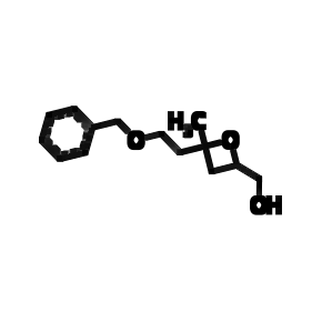 CC1(CCOCc2ccccc2)CC(CO)O1